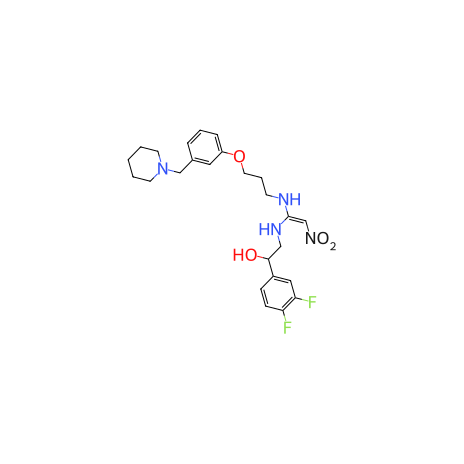 O=[N+]([O-])C=C(NCCCOc1cccc(CN2CCCCC2)c1)NCC(O)c1ccc(F)c(F)c1